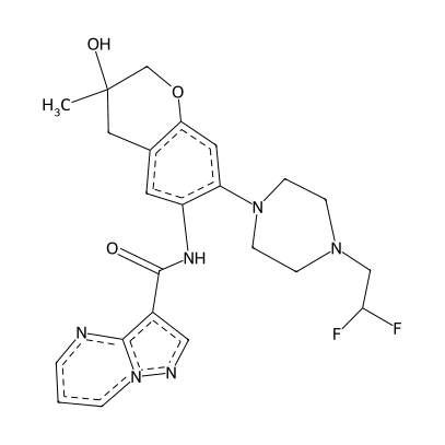 CC1(O)COc2cc(N3CCN(CC(F)F)CC3)c(NC(=O)c3cnn4cccnc34)cc2C1